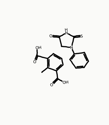 Cc1c(C(=O)O)cccc1C(=O)O.O=C1CN(c2ccccc2)C(=S)N1